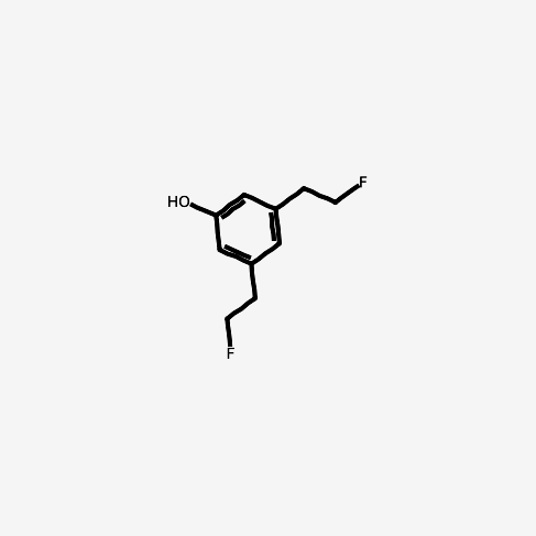 Oc1cc(CCF)cc(CCF)c1